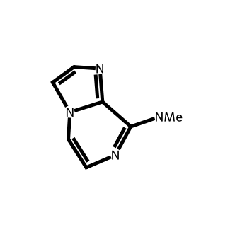 CNc1nccn2ccnc12